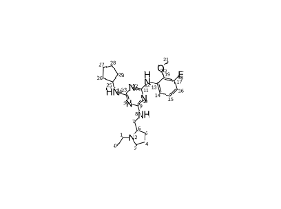 CCN1CCCC1CNc1nc(Nc2cccc(F)c2OC)nc(NC2CCCC2)n1